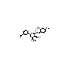 COc1ccc(CNC2=NC(c3cccc(C#N)c3)=CC(=N)C2=N)c(OC)c1